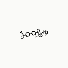 C[C@H]1CCCN1CC1CCCN1C(=O)c1ccc(-c2ccc(C(=O)C3CC3)cc2)cc1F